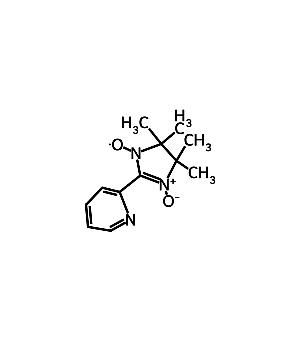 CC1(C)N([O])C(c2ccccn2)=[N+]([O-])C1(C)C